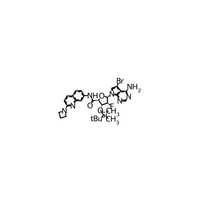 CC(C)(C)[Si](C)(C)O[C@H]1[C@H](F)[C@H](n2cc(Br)c3c(N)ncnc32)O[C@@H]1C(=O)Nc1ccc2ccc(N3CCC3)nc2c1